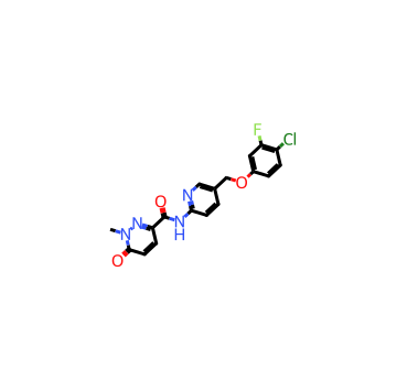 Cn1nc(C(=O)Nc2ccc(COc3ccc(Cl)c(F)c3)cn2)ccc1=O